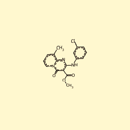 COC(=O)c1c(Nc2cccc(Cl)c2)nc2c(C)cccn2c1=O